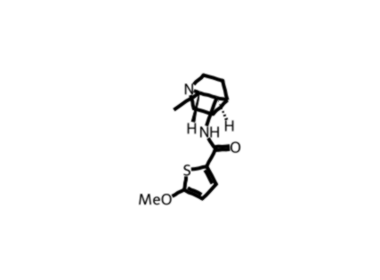 COc1ccc(C(=O)N[C@@H]2C3CCN(CC3)[C@H]2C)s1